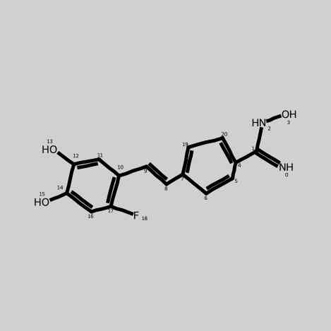 N=C(NO)c1ccc(/C=C/c2cc(O)c(O)cc2F)cc1